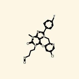 Cn1c(=O)n(CCCN=O)c(=O)c2c1nc(-c1ccc(F)cc1)n2Cc1ccc(Cl)cn1